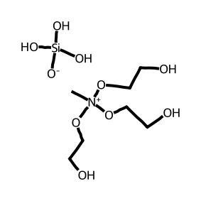 C[N+](OCCO)(OCCO)OCCO.[O-][Si](O)(O)O